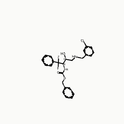 O=C(N[C@H]([C@@H](O)CNCc1cccc(Cl)c1)C(F)(F)c1ccccc1)OCc1ccccc1